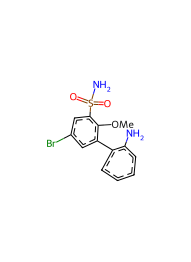 COc1c(-c2ccccc2N)cc(Br)cc1S(N)(=O)=O